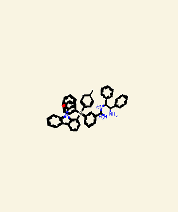 C[C@H]1C=CC([Si](c2ccccc2)(c2cccc(C(N)NC(c3ccccc3)[C@H](N)c3ccccc3)c2)c2cccc3c4ccccc4n(-c4ccccc4)c23)=CC1